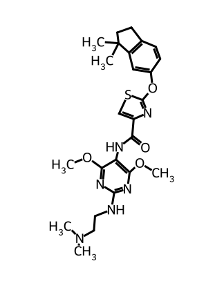 COc1nc(NCCN(C)C)nc(OC)c1NC(=O)c1csc(Oc2ccc3c(c2)C(C)(C)CC3)n1